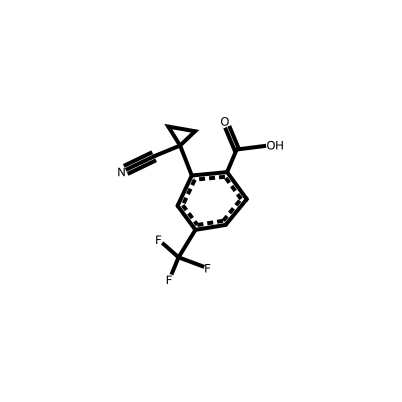 N#CC1(c2cc(C(F)(F)F)ccc2C(=O)O)CC1